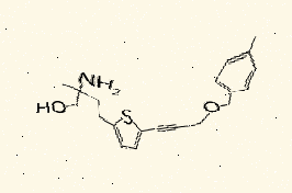 Cc1ccc(COCC#Cc2ccc(CCC(C)(N)CO)s2)cc1